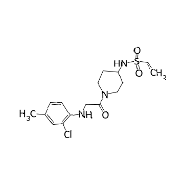 C=CS(=O)(=O)NC1CCN(C(=O)CNc2ccc(C)cc2Cl)CC1